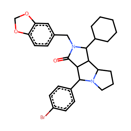 O=C1C2C(C(C3CCCCC3)N1Cc1ccc3c(c1)OCO3)C1CCCN1C2c1ccc(Br)cc1